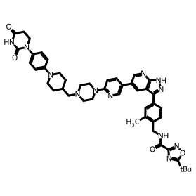 Cc1cc(-c2n[nH]c3ncc(-c4ccc(N5CCN(CC6CCN(c7ccc(N8CCC(=O)NC8=O)cc7)CC6)CC5)nc4)cc23)ccc1CNC(=O)c1noc(C(C)(C)C)n1